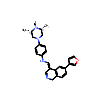 C[C@@H]1CN(c2ccc(N/C=C3\C=NCc4ccc(-c5ccoc5)cc43)cc2)C[C@H](C)N1C